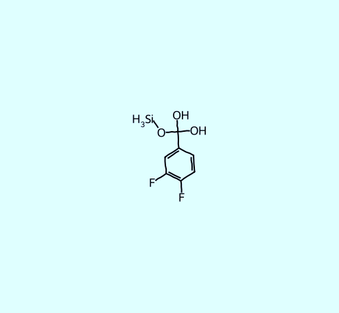 OC(O)(O[SiH3])c1ccc(F)c(F)c1